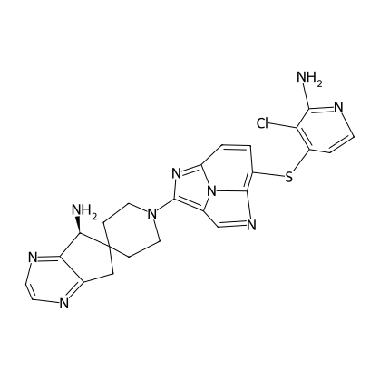 Nc1nccc(Sc2ccc3nc(N4CCC5(CC4)Cc4nccnc4[C@H]5N)c4cnc2n34)c1Cl